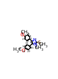 COc1ccc(-c2nc(SC)n(C)c2-c2ccc(OC)cc2)cc1